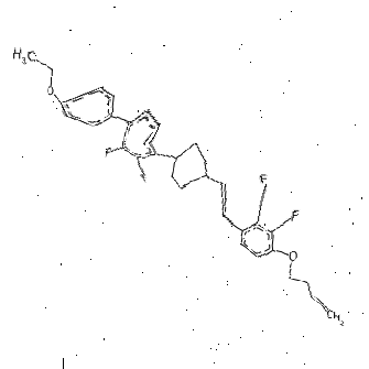 C=CCCOc1ccc(/C=C/C2CCC(c3ccc(-c4ccc(OCC)cc4)c(F)c3F)CC2)c(F)c1F